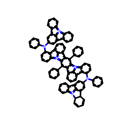 C1=CC2c3cc(N(c4ccccc4)c4cccc5c4c4cccc6c7c(-c8ccccc8)c8c(c(-c9ccccc9)c7n5c46)c4cccc5c6c(N(c7ccccc7)c7cc9c%10ccccc%10n%10c%11ccccc%11c(c7)c9%10)cccc6n8c54)cc4c5ccccc5n(c34)C2C=C1